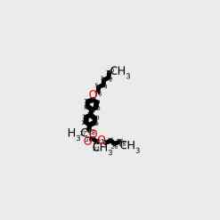 CCCCCCCOc1ccc(-c2ccc(C(C)OC(=O)C(C)OCCCCC)cc2)cc1